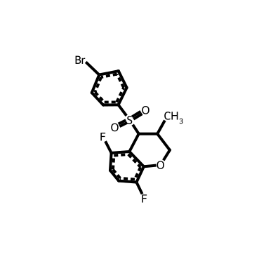 CC1COc2c(F)ccc(F)c2C1S(=O)(=O)c1ccc(Br)cc1